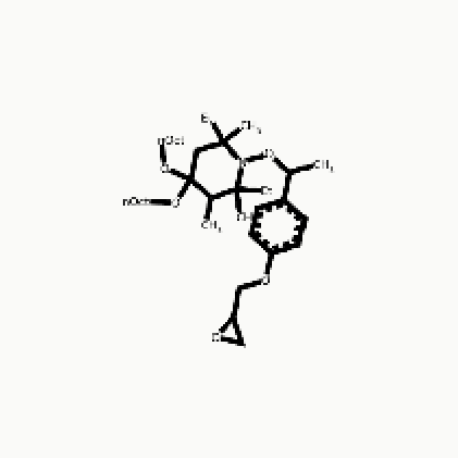 CCCCCCCCOC1(OCCCCCCCC)CC(C)(CC)N(OC(C)c2ccc(OCC3CO3)cc2)C(C)(CC)C1C